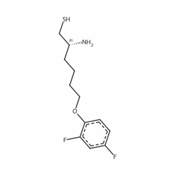 N[C@@H](CS)CCCCOc1ccc(F)cc1F